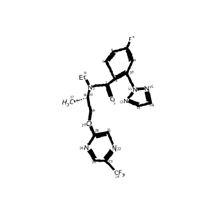 CCN(C(=O)c1ccc(F)cc1-n1nccn1)[C@@H](C)COc1cnc(C(F)(F)F)cn1